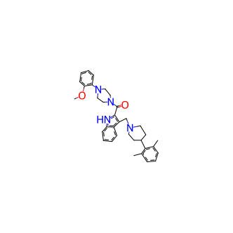 COc1ccccc1N1CCN(C(=O)c2[nH]c3ccccc3c2CN2CCC(c3c(C)cccc3C)CC2)CC1